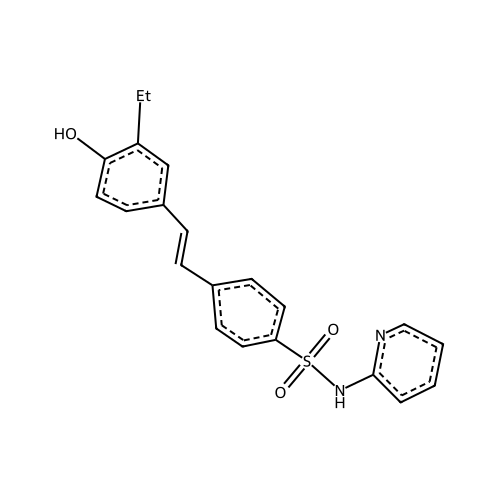 CCc1cc(/C=C/c2ccc(S(=O)(=O)Nc3ccccn3)cc2)ccc1O